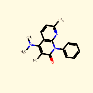 CN(C)c1c(C#N)c(=O)n(-c2ccccc2)c2nc(C(F)(F)F)ccc12